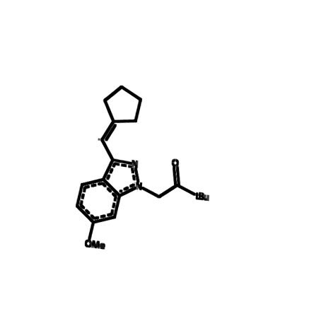 COc1ccc2c([C]=C3CCCC3)nn(CC(=O)C(C)(C)C)c2c1